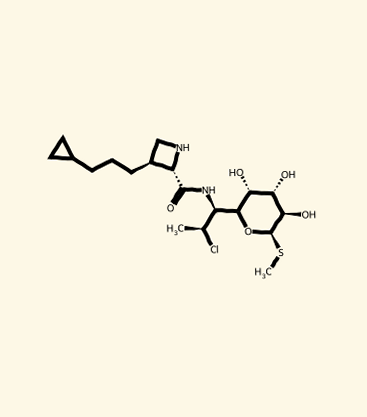 CS[C@H]1OC([C@H](NC(=O)[C@H]2NC[C@@H]2CCCC2CC2)[C@H](C)Cl)[C@H](O)[C@H](O)[C@H]1O